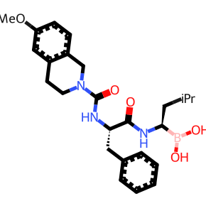 COc1ccc2c(c1)CCN(C(=O)N[C@@H](Cc1ccccc1)C(=O)N[C@@H](CC(C)C)B(O)O)C2